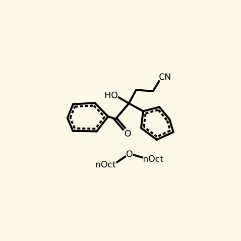 CCCCCCCCOCCCCCCCC.N#CCCC(O)(C(=O)c1ccccc1)c1ccccc1